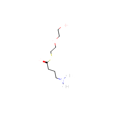 CN(C)CCCC(=O)SCCOCCO